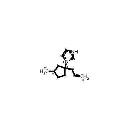 C=CCC1([n+]2cc[nH]c2)CCC(C)C1